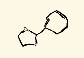 C1=CCCC(C2OCCO2)=C1